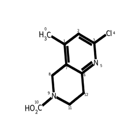 Cc1cc(Cl)nc2c1CN(C(=O)O)CC2